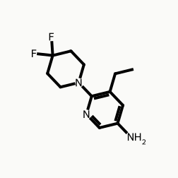 CCc1cc(N)cnc1N1CCC(F)(F)CC1